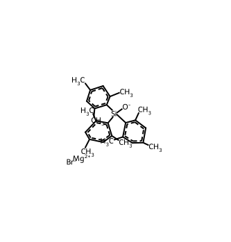 Cc1cc(C)c([Si]([O-])(c2c(C)cc(C)cc2C)c2c(C)cc(C)cc2C)c(C)c1.[Br-].[Mg+2]